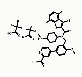 CNC1CCC(N(Cc2cc(-c3ccnc(C(=O)O)c3)ccc2OC)C(=O)c2sc3c(F)ccc(F)c3c2Cl)CC1.O=C(O)C(F)(F)F.O=C(O)C(F)(F)F